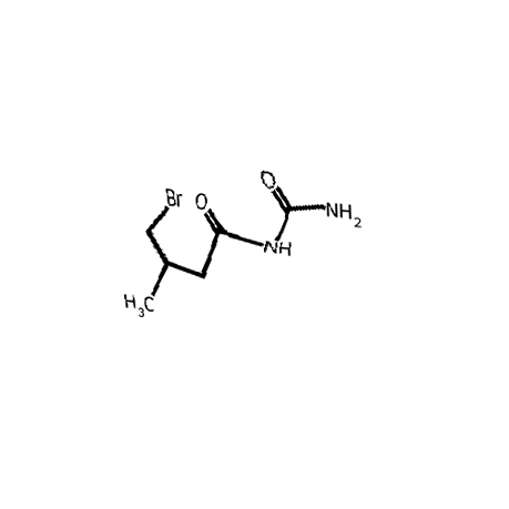 CC(CBr)CC(=O)NC(N)=O